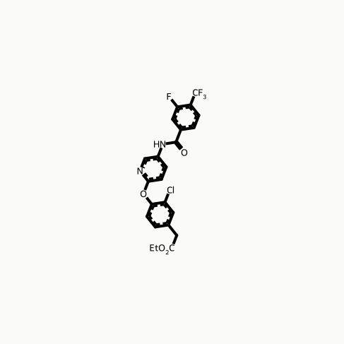 CCOC(=O)Cc1ccc(Oc2ccc(NC(=O)c3ccc(C(F)(F)F)c(F)c3)cn2)c(Cl)c1